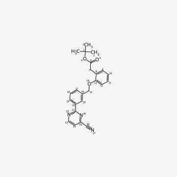 CC(C)(C)OC(=O)Cc1ccccc1OCc1cccc(-c2nccc(C#N)n2)c1